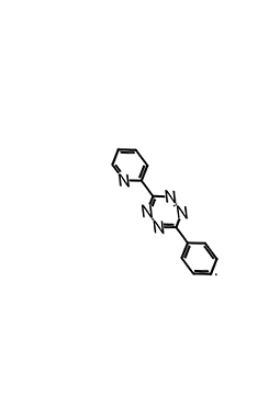 [c]1ccc(-c2nnc(-c3ccccn3)nn2)cc1